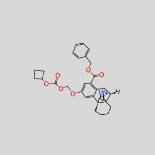 O=C(OCOc1cc(C(=O)OCc2ccccc2)c2c(c1)[C@@]13CCCC[C@H]1[C@@H](C2)NCC3)OC1CCC1